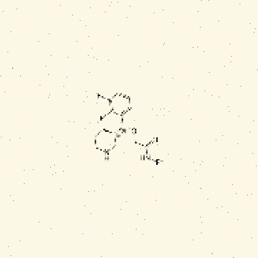 CCNC(=O)CO[C@@H](c1cccc(F)c1F)[C@@H]1CCCNC1